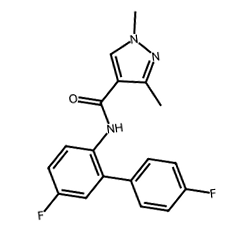 Cc1nn(C)cc1C(=O)Nc1ccc(F)cc1-c1ccc(F)cc1